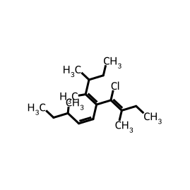 CC/C(C)=C(Cl)/C(/C=C\C(C)CC)=C(/C)C(C)CC